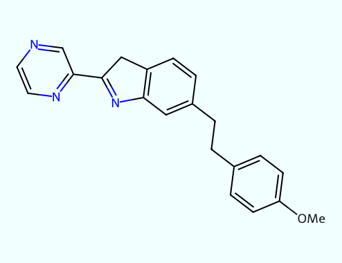 COc1ccc(CCc2ccc3c(c2)N=C(c2cnccn2)C3)cc1